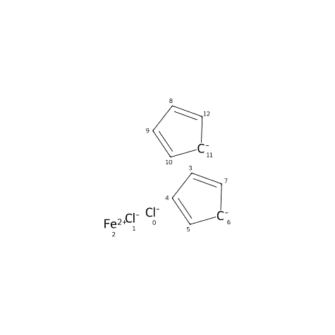 [Cl-].[Cl-].[Fe+2].c1cc[cH-]c1.c1cc[cH-]c1